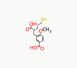 COc1ccc(C(=O)O)cc1CC(CCCS)C(=O)O